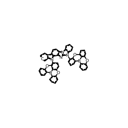 c1ccc2c(c1)Oc1cccc3c1B2c1cccc(-n2c4ccccc4n4c5ccc6c7ccccc7n(-c7ccc8c9c7Oc7ccccc7B9c7ccccc7O8)c6c5nc24)c1O3